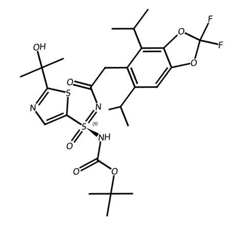 CC(C)c1cc2c(c(C(C)C)c1CC(=O)N=[S@@](=O)(NC(=O)OC(C)(C)C)c1cnc(C(C)(C)O)s1)OC(F)(F)O2